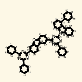 c1ccc(-c2nc(-c3ccccc3)nc(-c3ccc4c(c3)oc3ccc(-c5nc(-c6ccccc6)nc(-n6c7ccccc7c7c(-c8ccccc8)cccc76)n5)cc34)n2)cc1